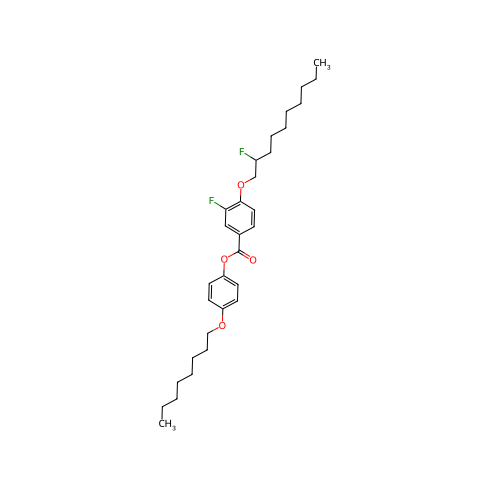 CCCCCCCCOc1ccc(OC(=O)c2ccc(OCC(F)CCCCCCCC)c(F)c2)cc1